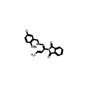 C/C=C/C(=N\NCc1cc(Cl)ccc1OCC(C)C)N1C(=O)c2ccccc2C1=O